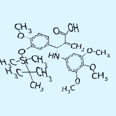 C=C(C(=O)O)[C@H](Nc1cc(OC)c(OC)c(OC)c1)c1ccc(OC)c(O[Si](C)(C)C(C)(C)C)c1